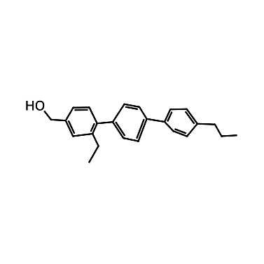 CCCc1ccc(-c2ccc(-c3ccc(CO)cc3CC)cc2)cc1